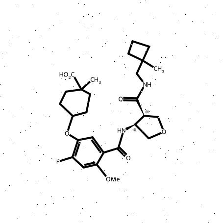 COc1cc(F)c(OC2CCC(C)(C(=O)O)CC2)cc1C(=O)N[C@@H]1COC[C@@H]1C(=O)NCC1(C)CCC1